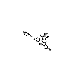 CC(C)N1C(=O)C2Cc3c([nH]c4ccc(Br)cc34)C(c3ccc(OCCCn4ccnc4)cc3)N2C1=S